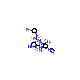 Cc1cc(-n2ccnc2)cc2[nH]c(-c3c(NNC(=O)c4cccc(Br)c4)cc[nH]c3=O)nc12